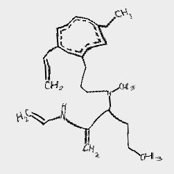 C=CNC(=C)C(CCC)N(C)Cc1cc(C)ccc1C=C